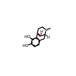 CN1CCC23CCC=C[C@H]2[C@H]1Cc1ccc(O)c(O)c13